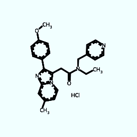 CCN(Cc1ccncc1)C(=O)Cc1c(-c2ccc(OC)cc2)nc2cc(C)ccn12.Cl